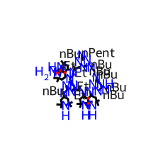 CCCCCN(CCCC)c1nc(N(CCCC)CCCC)nc(C(CC)(CC)N(CN(c2nc(N(CCCC)C3CC(C)(C)NC(C)(C)C3)nc(C(CC)(CC)N(CN(C3=NC(N(CCCC)CCCC)NC(N(C)CCCC)=N3)C3CC(C)(C)NC(C)(C)C3)C3CC(C)(C)NC(C)(C)C3)n2)C2CC(C)(C)N(N)C(C)(C)C2)C2CC(C)(C)NC(C)(C)C2)n1